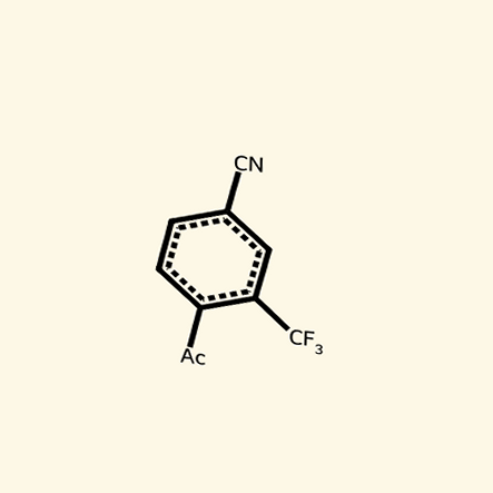 CC(=O)c1ccc(C#N)cc1C(F)(F)F